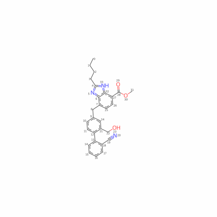 CCCCc1nc2c(Cc3ccc(-c4ccccc4C#N)c(CO)c3)ccc(C(=O)OC)c2[nH]1